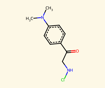 CN(C)c1ccc(C(=O)CNCl)cc1